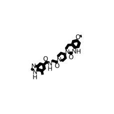 COc1ccc2c(c1)CCN(C1CCN(C(=O)CNC(=O)c3cc(C)c4[nH]cnc4c3)CC1)C(=O)N2